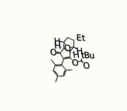 CC[C@H]1C[C@@H]2O[C@H]1[C@H]1C(OC(=O)C(C)(C)C)=C(c3c(C)cc(C)cc3C)C(=O)[C@H]12